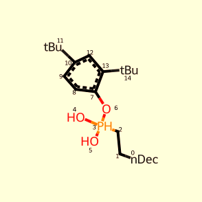 CCCCCCCCCCCC[PH](O)(O)Oc1ccc(C(C)(C)C)cc1C(C)(C)C